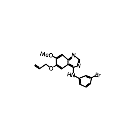 C=CCOc1cc2c(Nc3cccc(Br)c3)ncnc2cc1OC